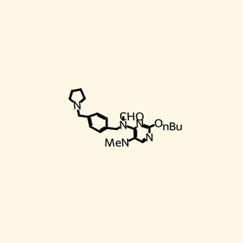 CCCCOc1ncc(NC)c(N(C=O)Cc2ccc(CN3CCCC3)cc2)n1